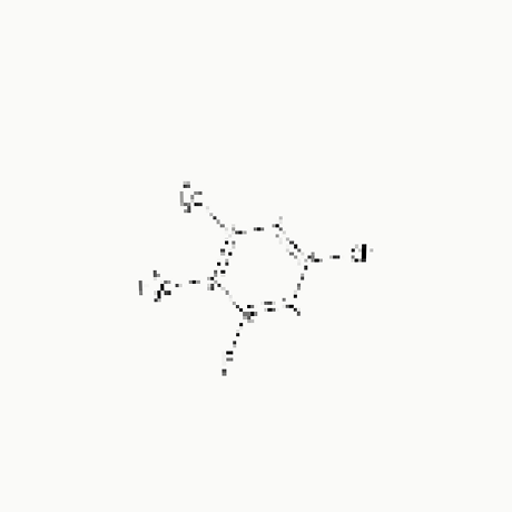 Cc1cc(Cl)cc(F)c1C